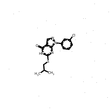 CC(C)CSc1nc2c(cnn2-c2cccc(Cl)c2)c(=O)[nH]1